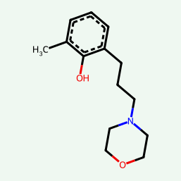 Cc1cccc(CCCN2CCOCC2)c1O